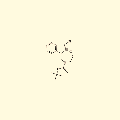 CC(C)(C)OC(=O)N1CCO[C@H](CO)C(c2ccccc2)C1